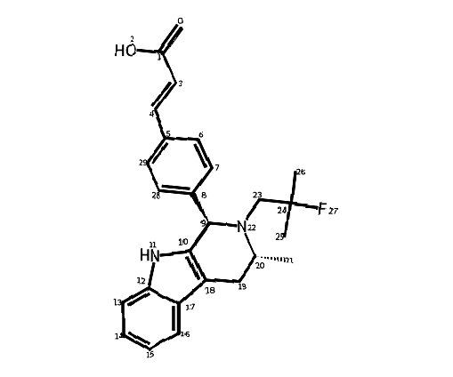 C=C(O)/C=C/c1ccc([C@@H]2c3[nH]c4ccccc4c3C[C@@H](C)N2CC(C)(C)F)cc1